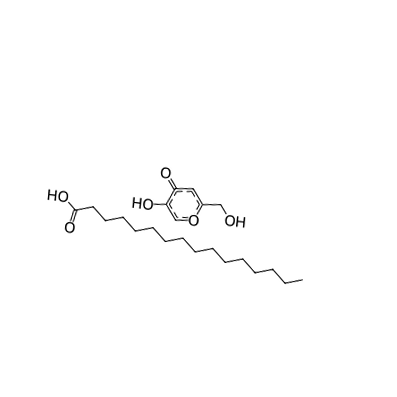 CCCCCCCCCCCCCCCC(=O)O.O=c1cc(CO)occ1O